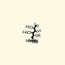 [LiH].[Li][C](=O)[C@H](O)[C@@H](O)[C@H](O)[C@H](O)CO.[NaH].[NaH]